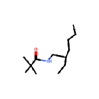 CCCCC(CC)CNC(=O)C(C)(C)C